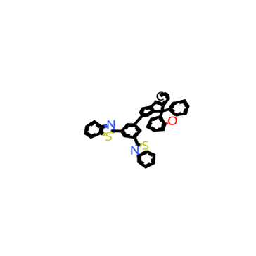 c1ccc2c(c1)Oc1ccccc1C21c2ccccc2-c2ccc(-c3cc(-c4nc5ccccc5s4)cc(-c4nc5ccccc5s4)c3)cc21